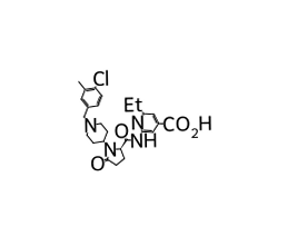 CCc1cc(C(=O)O)cc(NC(=O)[C@H]2CCC(=O)N2C2CCN(Cc3ccc(Cl)c(C)c3)CC2)n1